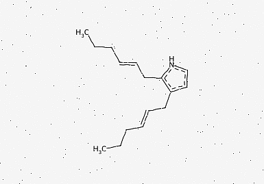 CCCC=CCc1cc[nH]c1CC=CCCC